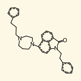 O=C1c2cccc3c(N4CCCN(CCCc5ccccc5)CC4)ccc(c23)N1CCc1ccccc1